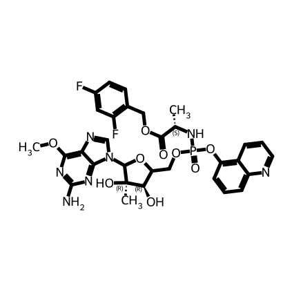 COc1nc(N)nc2c1ncn2C1OC(COP(=O)(N[C@@H](C)C(=O)OCc2ccc(F)cc2F)Oc2cccc3ncccc23)[C@@H](O)[C@@]1(C)O